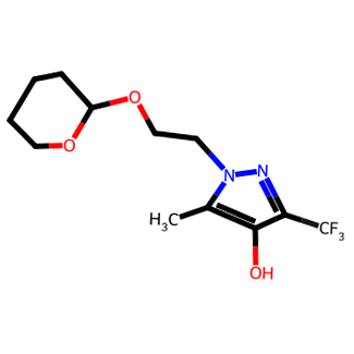 Cc1c(O)c(C(F)(F)F)nn1CCOC1CCCCO1